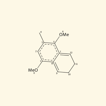 COc1cc(C)c(OC)c2c1=CCCC=2